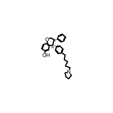 Oc1ccc2c(c1)[C@@H](c1ccc(CCCCCN3CCCC3)cc1)[C@@H](c1ccccc1)CO2